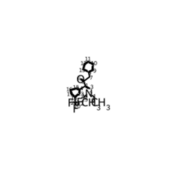 CCN(C=C(C(=O)Cc1ccccc1)c1cccc(C(F)(F)F)c1)CC